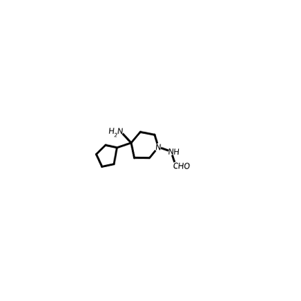 NC1(C2CCCC2)CCN(NC=O)CC1